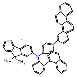 CC1(C)c2ccccc2-c2ccc(N(c3ccc(-c4ccc5ccc6c7ccccc7ccc6c5c4)cc3)c3ccccc3-c3cccc4ccccc34)cc21